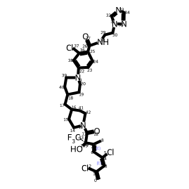 C=C(Cl)/C=C(Cl)\C=C(/C)[C@@](O)(C(=O)N1CCC(CC2CCN(c3ccc(C(=O)NCCn4cncn4)c(Cl)c3)CC2)CC1)C(F)(F)F